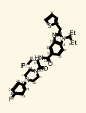 CCC(CC)n1c(Cc2cccs2)nc2cc(C(=O)N[C@@H](CC(C)C)C(=O)N3CCN(c4ccc(F)cc4)CC3)ccc21